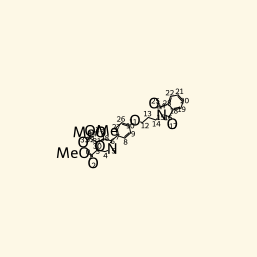 COC(=O)C1C2N=C(c3ccc(OCCCN4C(=O)c5ccccc5C4=O)cc3)C(OC)(O2)C1C(=O)OC